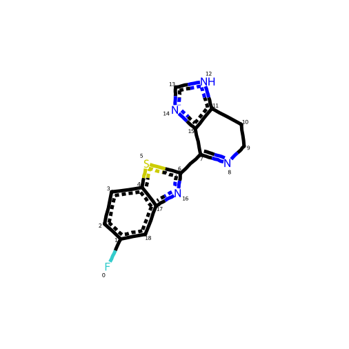 Fc1ccc2sc(C3=NCCc4[nH]cnc43)nc2c1